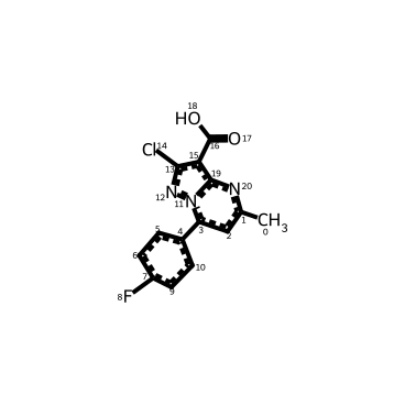 Cc1cc(-c2ccc(F)cc2)n2nc(Cl)c(C(=O)O)c2n1